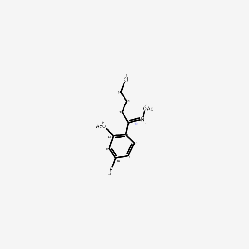 CC(=O)O/N=C(\CCCCl)c1ccc(F)cc1OC(C)=O